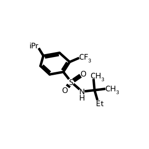 CCC(C)(C)NS(=O)(=O)c1ccc(C(C)C)cc1C(F)(F)F